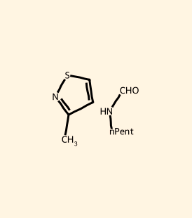 CCCCCNC=O.Cc1ccsn1